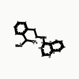 COC(C)c1ccccc1CCNc1ncnc2ccccc12